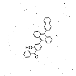 O=C(c1ccccc1)c1ccc(-c2c3ccccc3c(-c3ccc4ccccc4c3)c3ccccc23)cc1O